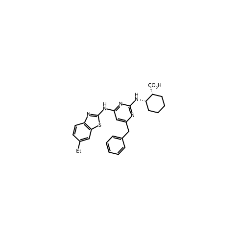 CCc1ccc2nc(Nc3cc(Cc4ccccc4)nc(N[C@H]4CCCC[C@H]4C(=O)O)n3)sc2c1